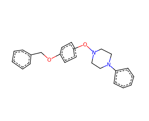 c1ccc(COc2ccc(ON3CCN(c4ccccc4)CC3)cc2)cc1